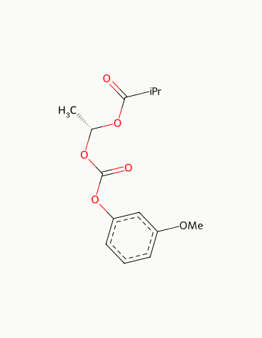 COc1cccc(OC(=O)O[C@H](C)OC(=O)C(C)C)c1